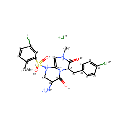 COc1ccc(Cl)cc1S(=O)(=O)N1CC(N)C(=O)N2C1=CN(C(C)C)C(=O)C2Cc1ccc(Cl)cc1.Cl